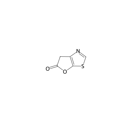 O=C1Cc2ncsc2O1